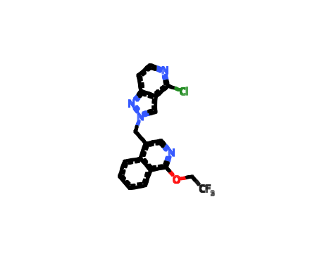 FC(F)(F)COc1ncc(Cn2cc3c(Cl)nccc3n2)c2ccccc12